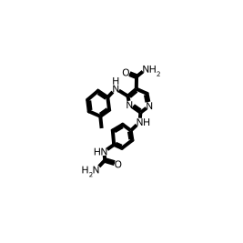 Cc1cccc(Nc2nc(Nc3ccc(NC(N)=O)cc3)ncc2C(N)=O)c1